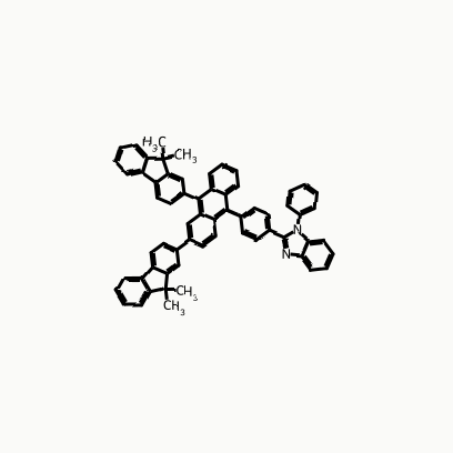 CC1(C)c2ccccc2-c2ccc(-c3ccc4c(-c5ccc(-c6nc7ccccc7n6-c6ccccc6)cc5)c5ccccc5c(-c5ccc6c(c5)C(C)(C)c5ccccc5-6)c4c3)cc21